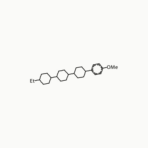 CCC1CCC(C2CCC(C3CCC(c4ccc(OC)cc4)CC3)CC2)CC1